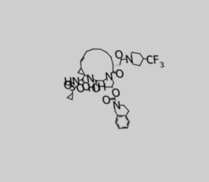 O=C1N[C@]2(C(=O)NS(=O)(=O)C3CC3)CC2/C=C\CCCCC[C@H](CC(=O)N2CCC(C(F)(F)F)CC2)C(=O)N2C[C@H](OC(=O)N3CCc4ccccc4C3)C[C@@H]12